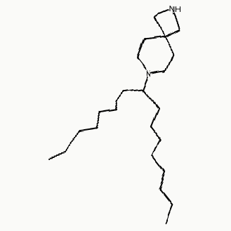 CCCCCCCCC(CCCCCCC)N1CCC2(CC1)CNC2